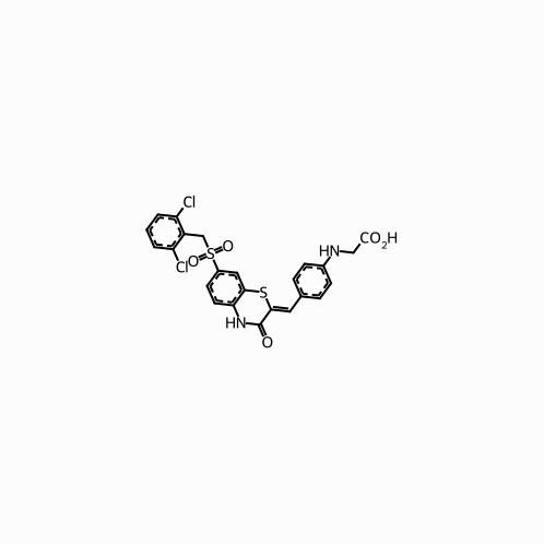 O=C(O)CNc1ccc(/C=C2\Sc3cc(S(=O)(=O)Cc4c(Cl)cccc4Cl)ccc3NC2=O)cc1